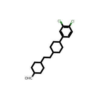 O=CC1CCC(CCC2CCC(c3ccc(Cl)c(Cl)c3)CC2)CC1